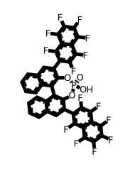 O=P1(O)Oc2c(-c3c(F)c(F)c4c(F)c(F)c(F)c(F)c4c3F)cc3ccccc3c2-c2c(c(-c3c(F)c(F)c4c(F)c(F)c(F)c(F)c4c3F)cc3ccccc23)O1